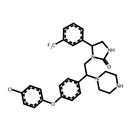 O=C1NCC(c2cccc(C(F)(F)F)c2)N1CC(c1ccc(Oc2ccc(Cl)cc2)cc1)N1CCNCC1